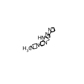 CN1CCN(c2ccnc(Nc3nc(-c4ccccn4)cs3)c2)CC1